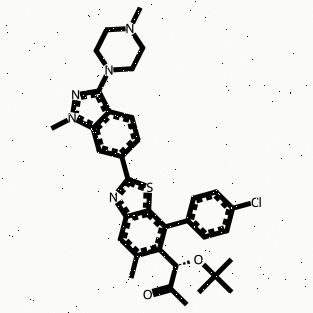 CC(=O)[C@@H](OC(C)(C)C)c1c(C)cc2nc(-c3ccc4c(N5CCN(C)CC5)nn(C)c4c3)sc2c1-c1ccc(Cl)cc1